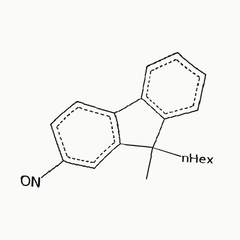 CCCCCCC1(C)c2ccccc2-c2ccc(N=O)cc21